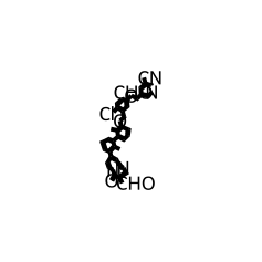 Cc1c(OCc2cc(OCc3cncc(C#N)c3)c(C=O)cc2Cl)cccc1-c1cccc(-c2ccn3c(=O)c(C=O)cnc3c2)c1C